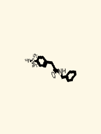 CC(C)[Si]([18F])(c1ccc(CC(=O)NCc2ccccc2)cc1)C(C)C